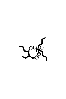 CCC[CH2][Ti]1(=[O])([CH2]CCC)[O]OCC(CC)C(CCC)O[O]1